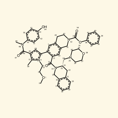 COCCn1c(-c2cc3c(cc2C(=O)N2Cc4ccccc4C[C@H]2CN2CCOCC2)CN(C(=O)Oc2ccccc2)CC3)cc(C(=O)N(C)c2ccc(O)cc2)c1C